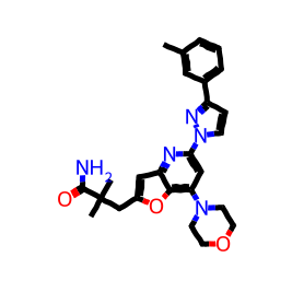 Cc1cccc(-c2ccn(-c3cc(N4CCOCC4)c4oc(CC(C)(C)C(N)=O)cc4n3)n2)c1